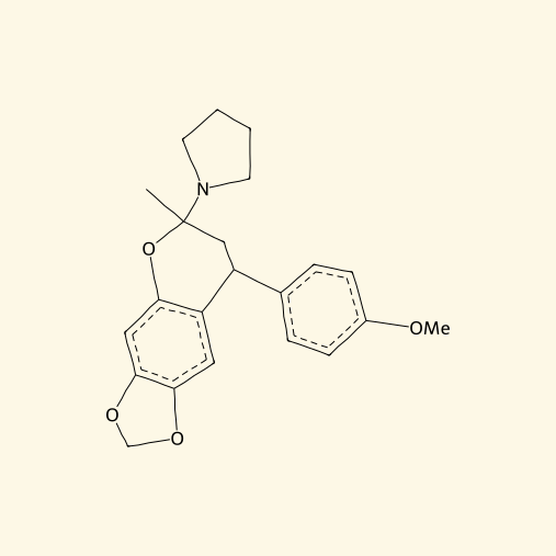 COc1ccc(C2CC(C)(N3CCCC3)Oc3cc4c(cc32)OCO4)cc1